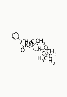 CC(C)(C)OC(=O)N1CC[C@@](O)(Cn2ccc(-c3ccccc3)cc2=O)C(C)(C)C1